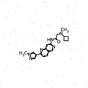 CN(CC(=O)Nc1cc2nc(-c3cnn(C)c3)ccc2cn1)C1CCC1